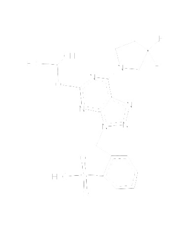 CC(Oc1nc(N2CCC(F)(F)C2)c2nnn(Cc3ccccc3S(C)(=O)=O)c2n1)C(F)(F)F